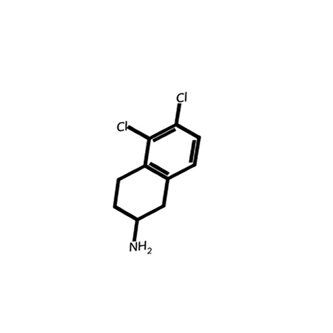 NC1CCc2c(ccc(Cl)c2Cl)C1